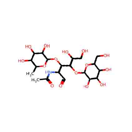 CC(=O)NC(C=O)C(OC1OC(C)C(O)C(O)C1O)C(OC1OC(CO)C(O)C(O)C1O)C(O)CO